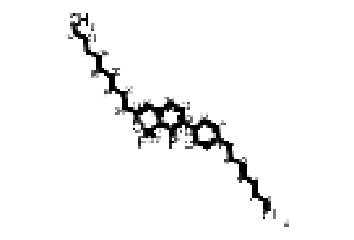 C=CCC/C=C/CCc1ccc(-c2ccc3c(c2F)C(F)(F)OC(CCCCCCCCCC)=C3)cc1